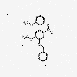 COc1cc(-c2cccnc2OC)c([N+](=O)[O-])cc1OCc1ccccc1